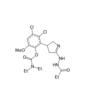 CCC(=O)NNC1=NCC(c2c(Cl)c(Cl)cc(OC)c2OC(=O)N(CC)CC)C1